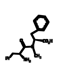 CC(C)C[C@H](N)C(=O)N(C)[C@@H](Cc1ccccc1)C(=O)O